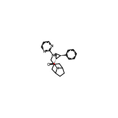 O=C([C@@H]1C[C@H]1c1ccccc1)N1C2CCC1CC(CNc1ncccn1)C2